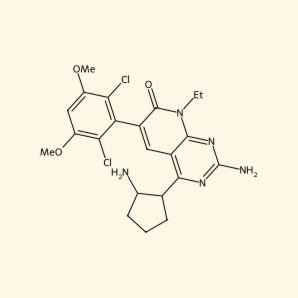 CCn1c(=O)c(-c2c(Cl)c(OC)cc(OC)c2Cl)cc2c(C3CCCC3N)nc(N)nc21